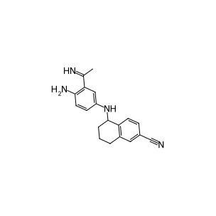 CC(=N)c1cc(NC2CCCc3cc(C#N)ccc32)ccc1N